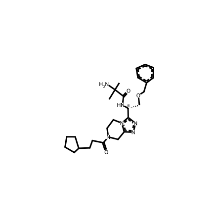 CC(C)(N)C(=O)N[C@H](COCc1ccccc1)c1nnc2n1CCN(C(=O)CCC1CCCC1)C2